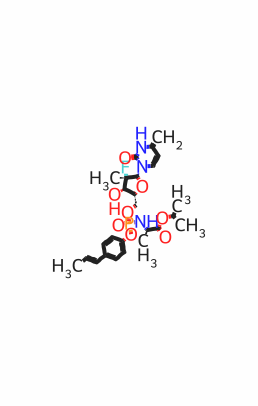 C=C1C=CN([C@@H]2O[C@H](COP(=O)(N[C@@H](C)C(=O)OC(C)C)Oc3ccc(/C=C/C)cc3)[C@@H](O)[C@@]2(C)F)C(=O)N1